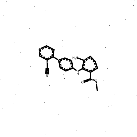 COC(=O)c1cccc(N)c1Nc1ccc(-c2ccccc2C#N)cc1